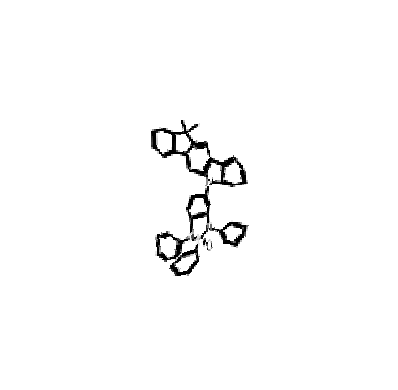 CC1(C)c2ccccc2-c2cc3c(cc21)c1ccccc1n3-c1ccc2c(c1)N(c1ccccc1)P(=O)(c1ccccc1)N2c1ccccc1